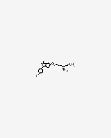 CC#CC(N)CCCCOc1ccc2c(-c3ccc(Br)cc3)nsc2c1